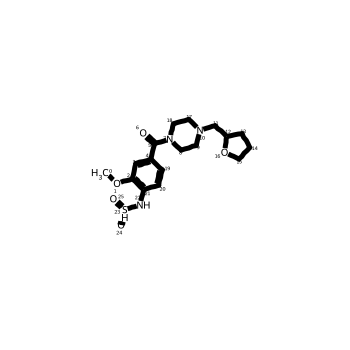 COc1cc(C(=O)N2CCN(CC3CCCO3)CC2)ccc1N[SH](=O)=O